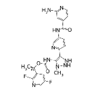 C[C@@H](OC(=O)NC1=C(c2ccc(NC(=O)c3ccnc(N)c3)cn2)NNN1C)c1cc(F)cnc1F